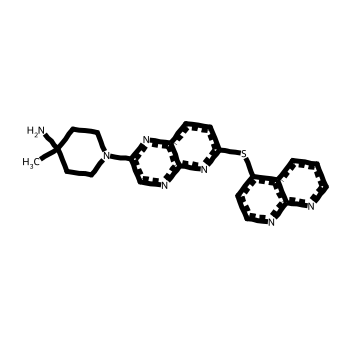 CC1(N)CCN(c2cnc3nc(Sc4ccnc5ncccc45)ccc3n2)CC1